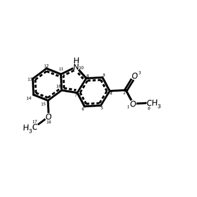 COC(=O)c1ccc2c(c1)[nH]c1cccc(OC)c12